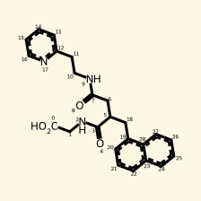 O=C(O)CNC(=O)C(CC(=O)NCCc1ccccn1)Cc1cccc2ccccc12